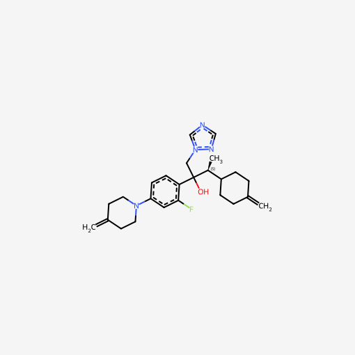 C=C1CCC([C@H](C)C(O)(Cn2cncn2)c2ccc(N3CCC(=C)CC3)cc2F)CC1